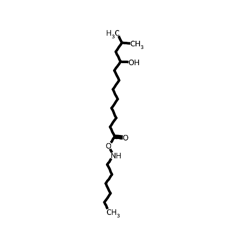 CCCCCCNOC(=O)CCCCCCCC(O)CC(C)C